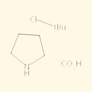 CC(C)(C)Cl.O=C(O)[C@H]1CCCN1